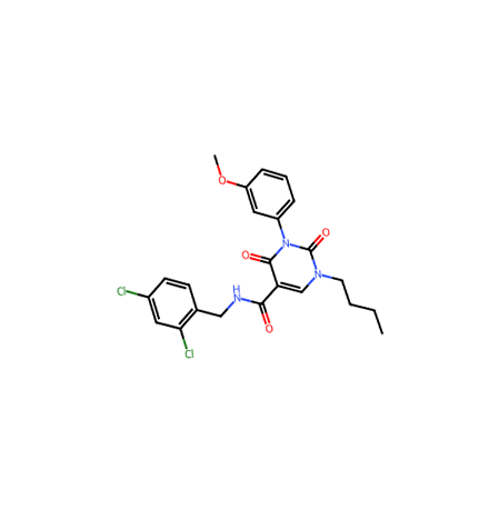 CCCCn1cc(C(=O)NCc2ccc(Cl)cc2Cl)c(=O)n(-c2cccc(OC)c2)c1=O